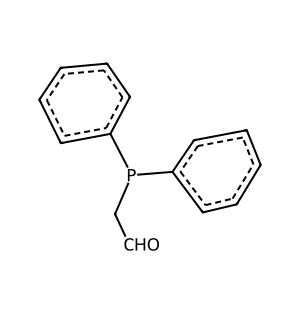 O=CCP(c1ccccc1)c1ccccc1